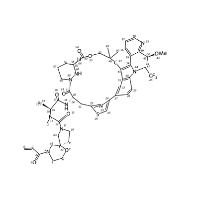 C=CC(=O)N1CCO[C@@]2(CCN(C(=O)N(C)[C@H](C(=O)N[C@H]3Cc4nc(cs4)-c4ccc5c(c4)c(c(-c4cccnc4[C@H](C)OC)n5CC(F)(F)F)CC(C)(C)COC(=O)[C@@H]4CCCN(N4)C3=O)C(C)C)C2)C1